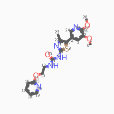 COc1cc(-c2sc(NC(=O)NCCOc3ccccn3)nc2C)cnc1OC